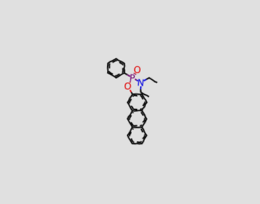 CCN(CC)P(=O)(Oc1ccc2cc3ccccc3cc2c1)c1ccccc1